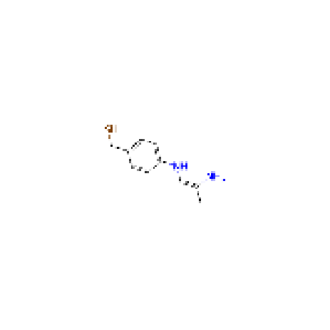 C/C(N)=C/Nc1ccc(CS)cc1